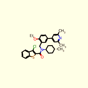 CCOc1ccc(-c2cc(C)nc(C)c2)cc1CN(C(=O)c1sc2ccccc2c1Cl)[C@H]1CC[C@H](C)CC1